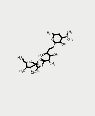 CCC[C@H](C)[C@@H](O)[C@](C)(O)C(C)OC(=O)[C@H](C)C(O)C(C)CO[C@@H]1OC(C)CC(N(C)C)C1O